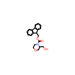 O=C(OCC1c2ccccc2-c2ccccc21)N1CCOCC1CO